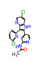 CC(=O)Nc1cc(-c2[nH]c3cc(Cl)cnc3c2-c2cccc(Cl)n2)ccn1